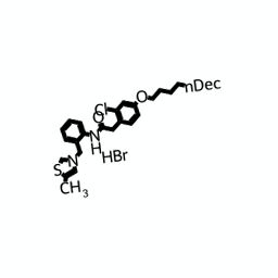 Br.CCCCCCCCCCCCCCOc1ccc(CC(=O)Nc2ccccc2CN2C=C(C)SC2)c(Cl)c1